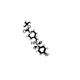 CC(C)(C)OC(=O)N1CCC(CNS(=O)(=O)c2ccc(Br)cc2)CC1